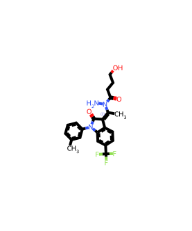 C/C(=C1/C(=O)N(c2cccc(C)c2)c2cc(C(F)(F)F)ccc21)N(N)C(=O)CCCO